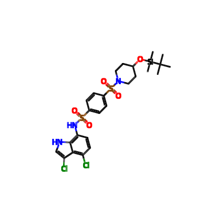 CC(C)(C)[Si](C)(C)OC1CCN(S(=O)(=O)c2ccc(S(=O)(=O)Nc3ccc(Cl)c4c(Cl)c[nH]c34)cc2)CC1